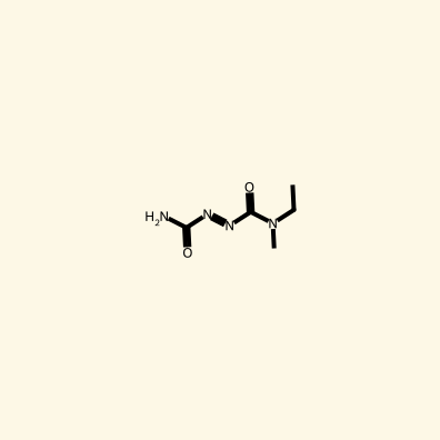 CCN(C)C(=O)N=NC(N)=O